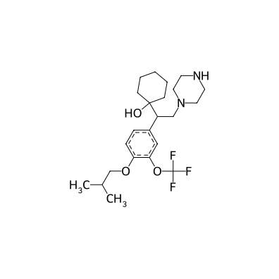 CC(C)COc1ccc(C(CN2CCNCC2)C2(O)CCCCC2)cc1OC(F)(F)F